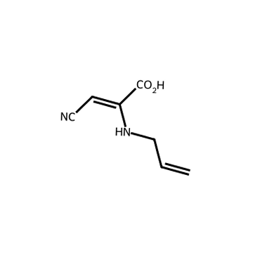 C=CCNC(=CC#N)C(=O)O